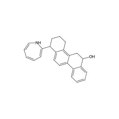 OC1Cc2c(ccc3c2CCCC3C2=CC=CC=CN2)-c2ccccc21